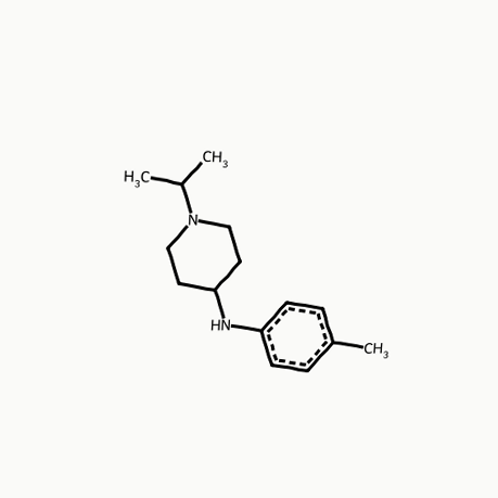 Cc1ccc(NC2CCN(C(C)C)CC2)cc1